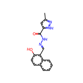 Cc1cc(C(=O)NN=Cc2c(O)ccc3ccccc23)[nH]n1